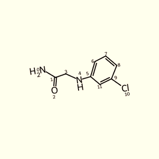 NC(=O)CNc1cccc(Cl)c1